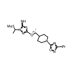 CSC(C)n1nc(O[C@H](C)C2CCN(c3nc(C(C)C)no3)CC2)sc1=N